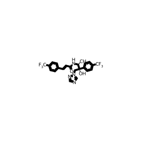 C[C@@H](NC(=O)/C=C/c1ccc(C(F)(F)F)cc1)[C@](O)(Cn1cncn1)c1ccc(C(F)(F)F)cc1